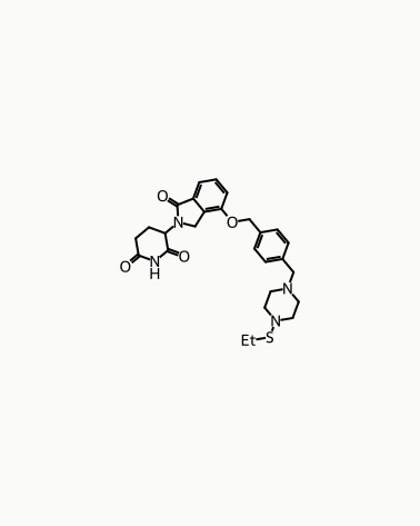 CCSN1CCN(Cc2ccc(COc3cccc4c3CN(C3CCC(=O)NC3=O)C4=O)cc2)CC1